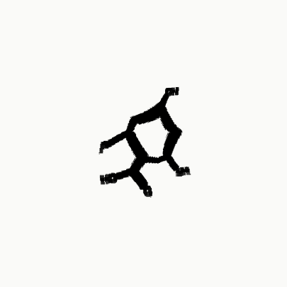 O=C(O)c1c(F)cc(O)cc1S